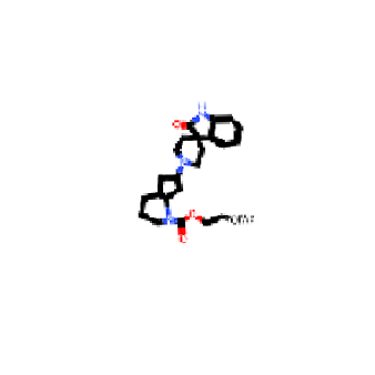 COCCOC(=O)N1CCCC2CC(N3CCC4(CC3)C(=O)Nc3ccccc34)CC21